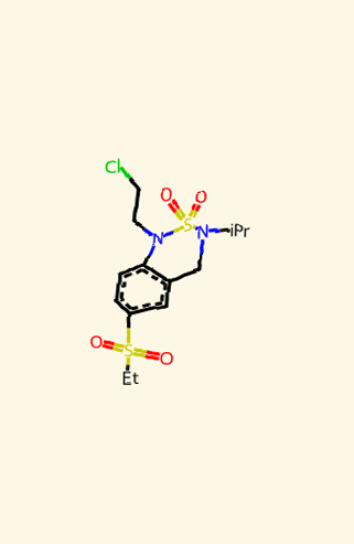 CCS(=O)(=O)c1ccc2c(c1)CN(C(C)C)S(=O)(=O)N2CCCl